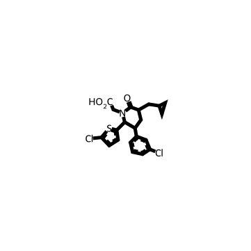 O=C(O)CN1C(=O)C(CC2CC2)CC(c2cccc(Cl)c2)C1c1ccc(Cl)s1